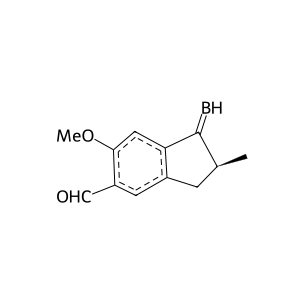 B=C1c2cc(OC)c(C=O)cc2C[C@@H]1C